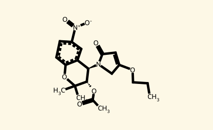 CCCOC1=CC(=O)N([C@@H]2c3cc([N+](=O)[O-])ccc3OC(C)(C)[C@H]2OC(C)=O)C1